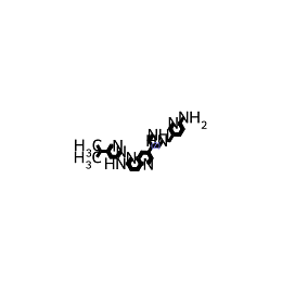 CC(C)c1cnnc(Nc2ccc3ncc(/C(C=N)=C/NCc4ccc(N)nc4)cc3n2)c1